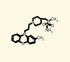 Cc1ccc2c(c1)N(CCCN1CCC(CN(C)S(N)(=O)=O)CC1)c1ccccc1S2